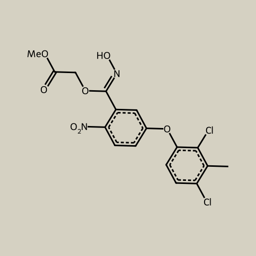 COC(=O)COC(=NO)c1cc(Oc2ccc(Cl)c(C)c2Cl)ccc1[N+](=O)[O-]